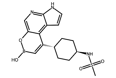 CS(=O)(=O)N[C@H]1CC[C@H](C2=CB(O)Oc3cnc4[nH]ccc4c32)CC1